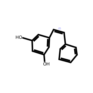 Oc1cc(O)cc(/C=C\c2ccccc2)c1